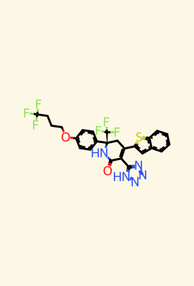 O=C1N[C@@](c2ccc(OCCCC(F)(F)F)cc2)(C(F)(F)F)CC(c2cc3ccccc3s2)=C1c1nnn[nH]1